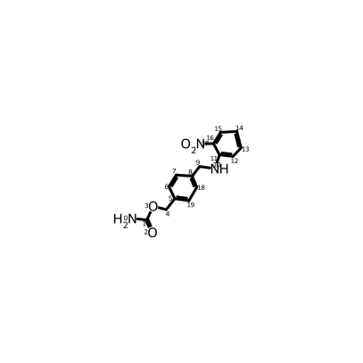 NC(=O)OCc1ccc(CNc2ccccc2[N+](=O)[O-])cc1